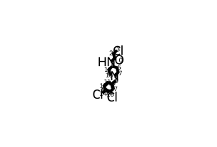 O=C(CCl)NC1CCN(Cc2ccc(Cl)c(Cl)c2)CC1